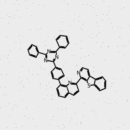 c1ccc(-c2nc(-c3ccccc3)nc(-c3ccc(-c4cccc5ccc(-c6nccc7c6sc6ccccc67)nc45)cc3)n2)cc1